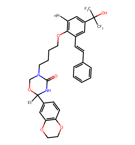 CCCc1cc(C(O)(C(F)(F)F)C(F)(F)F)cc(/C=C/c2ccccc2)c1OCCCCN1COC(CC)(c2ccc3c(c2)OCCO3)NC1=O